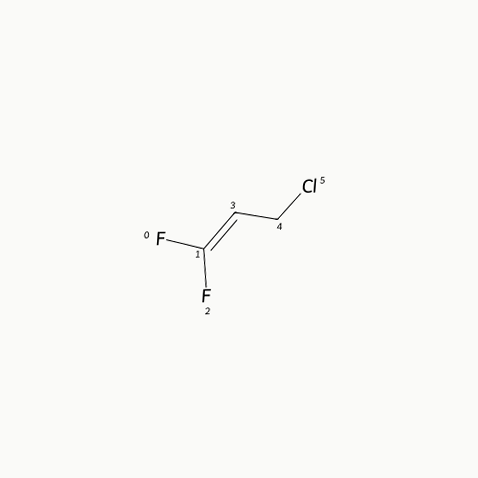 FC(F)=CCCl